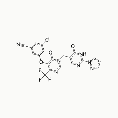 N#Cc1cc(Cl)cc(Oc2c(C(F)(F)F)ncn(Cc3cnc(-n4cccn4)[nH]c3=O)c2=O)c1